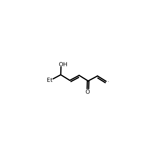 [CH]=CC(=O)C=CC(O)CC